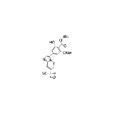 COc1cc(-c2cnc3cc(C4(C#N)COC4)ccn23)cc(O)c1C(=O)OC(C)(C)C